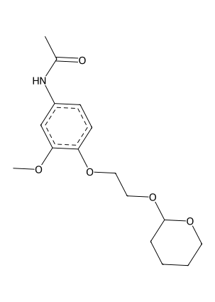 COc1cc(NC(C)=O)ccc1OCCOC1CCCCO1